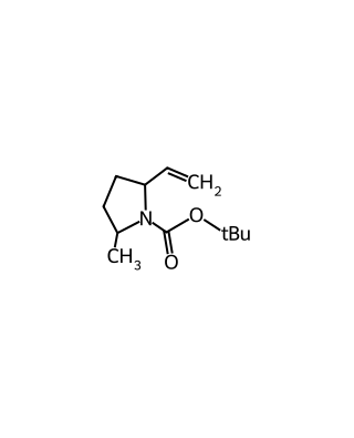 C=CC1CCC(C)N1C(=O)OC(C)(C)C